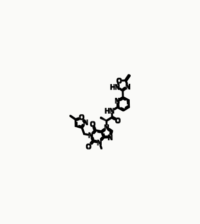 C=C1N=C(c2cccc(NC(=O)[C@H](C)n3cnc4c3c(=O)n(Cc3cc(C)on3)c(=O)n4C)n2)NO1